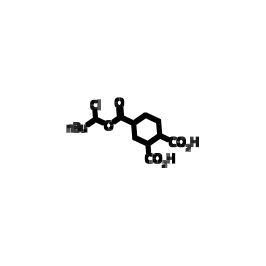 CCCCC(Cl)OC(=O)C1CCC(C(=O)O)C(C(=O)O)C1